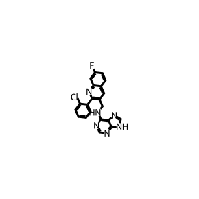 Fc1ccc2cc(CNc3ncnc4[nH]cnc34)c(-c3ccccc3Cl)nc2c1